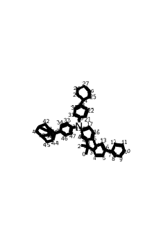 CC1(C)c2ccc(-c3ccccc3)cc2-c2ccc(N(c3ccc(C4CCCCC4)cc3)c3ccc(C4C5CC6CC(C5)CC4C6)cc3)cc21